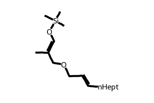 CCCCCCCC=CCOCC(C)=CO[Si](C)(C)C